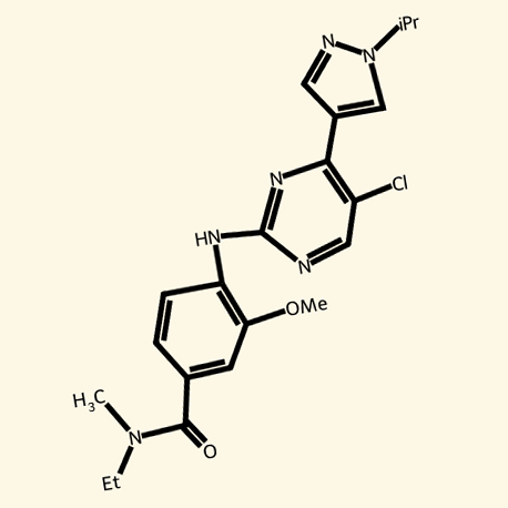 CCN(C)C(=O)c1ccc(Nc2ncc(Cl)c(-c3cnn(C(C)C)c3)n2)c(OC)c1